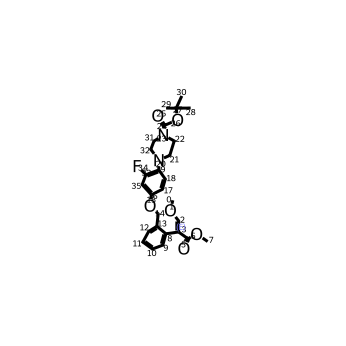 CO/C=C(/C(=O)OC)c1ccccc1COc1ccc(N2CCN(C(=O)OC(C)(C)C)CC2)c(F)c1